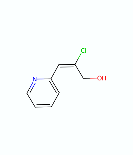 OC/C(Cl)=C\c1ccccn1